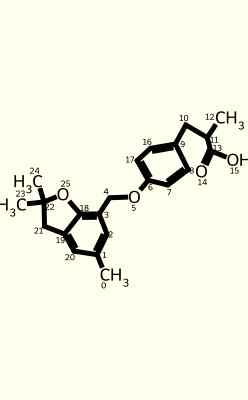 Cc1cc(COc2ccc(CC(C)C(=O)O)cc2)c2c(c1)CC(C)(C)O2